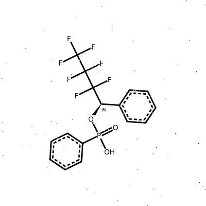 O=P(O)(O[C@H](c1ccccc1)C(F)(F)C(F)(F)C(F)(F)F)c1ccccc1